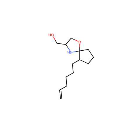 C=CCCCCC1CCCC12NC(CO)CO2